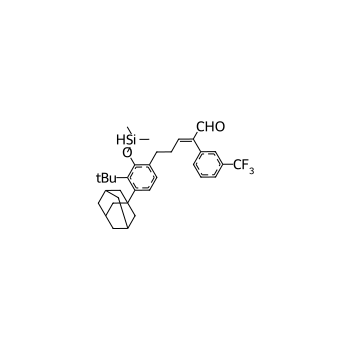 C[SiH](C)Oc1c(CCC=C(C=O)c2cccc(C(F)(F)F)c2)ccc(C23CC4CC(CC(C4)C2)C3)c1C(C)(C)C